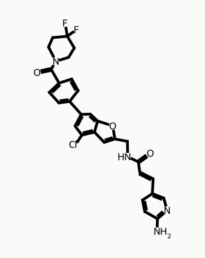 Nc1ccc(/C=C/C(=O)NCc2cc3c(Cl)cc(-c4ccc(C(=O)N5CCC(F)(F)CC5)cc4)cc3o2)cn1